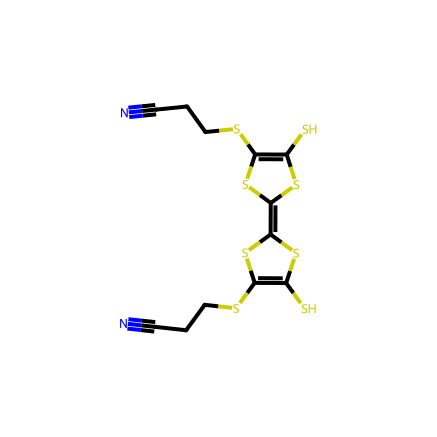 N#CCCSC1=C(S)S/C(=C2\SC(S)=C(SCCC#N)S2)S1